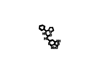 COc1n[nH]c2cc(NC(=O)N[C@@H](c3ccccc3)[C@H]3CCCO3)ncc12